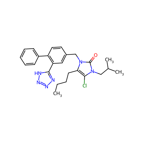 CCCCc1c(Cl)n(CC(C)C)c(=O)n1Cc1ccc(-c2ccccc2)c(-c2nnn[nH]2)c1